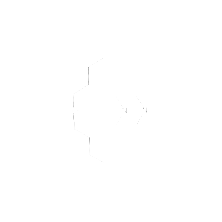 CCC[CH2][V+2][CH2]CCC.C[N-]C.C[N-]C